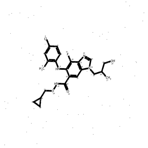 Cc1cc(Cl)ccc1Nc1c(C(=O)NOCC2CC2)cc2c(ncn2CC(C)CO)c1F